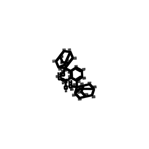 O=[N+]([O-])c1c(C2(O)C3CC4CC(C3)CC2C4)cccc1C1(O)C2CC3CC(C2)CC1C3